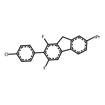 CCCc1ccc2c(c1)Cc1c-2cc(F)c(-c2ccc(Cl)cc2)c1F